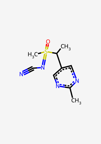 Cc1ncc(C(C)S(C)(=O)=NC#N)cn1